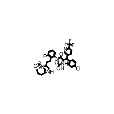 O=C(O)NC(C(=O)Nc1cccc(F)c1CCC1CNC2CCCS(=O)(=O)N1C2)C(c1ccc(Cl)cc1)c1ccc(C(F)(F)F)nc1